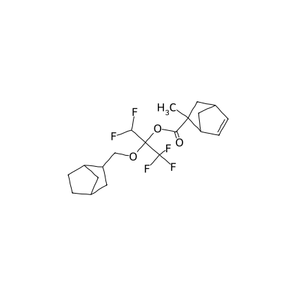 CC1(C(=O)OC(OCC2CC3CCC2C3)(C(F)F)C(F)(F)F)CC2C=CC1C2